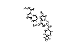 CNC(=O)c1cnc2ncc(-c3c(F)cn4nc(NC5CCC6(CC5)COC6)nc(OC)c34)cn12